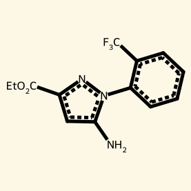 CCOC(=O)c1cc(N)n(-c2ccccc2C(F)(F)F)n1